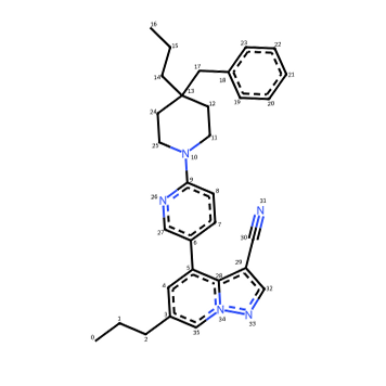 CCCc1cc(-c2ccc(N3CCC(CCC)(Cc4ccccc4)CC3)nc2)c2c(C#N)cnn2c1